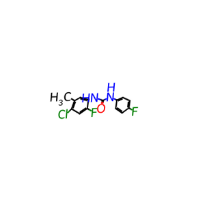 Cc1cc(NC(=O)Nc2ccc(F)cc2)c(F)cc1Cl